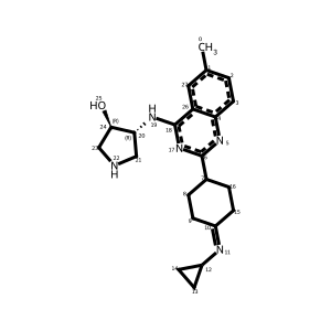 Cc1ccc2nc(C3CCC(=NC4CC4)CC3)nc(N[C@@H]3CNC[C@H]3O)c2c1